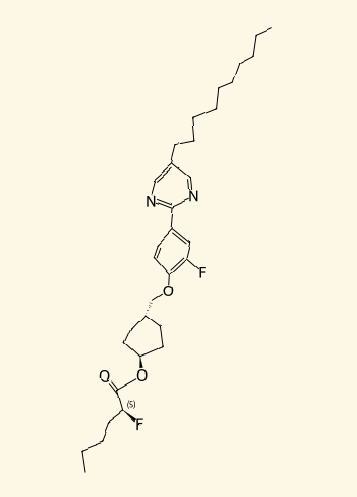 CCCCCCCCCCc1cnc(-c2ccc(OC[C@H]3CC[C@H](OC(=O)[C@@H](F)CCCC)CC3)c(F)c2)nc1